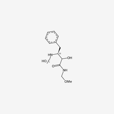 COCNC(=O)C(O)[C@H](Cc1ccccc1)NC(=O)O